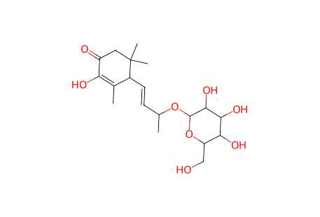 CC1=C(O)C(=O)CC(C)(C)C1C=CC(C)OC1OC(CO)C(O)C(O)C1O